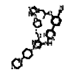 C[C@@H](Cn1cnnn1)Oc1cc(-c2cnc(Nc3cn([C@H]4CC[C@H](N5CCOCC5)CC4)nc3OC[C@H]3CCOC3)nc2)ccc1C#N